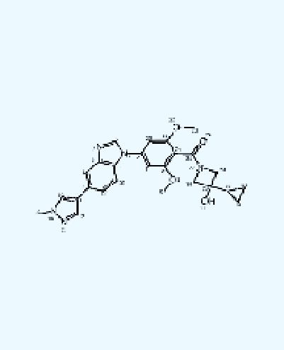 COc1cc(-n2cnc3cc(-c4cnn(C)c4)ccc32)cc(OC)c1C(=O)N1CC(O)(C2CC2)C1